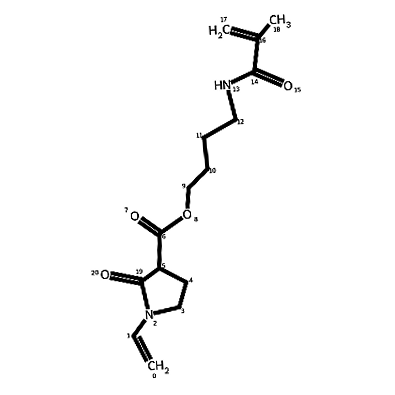 C=CN1CCC(C(=O)OCCCCNC(=O)C(=C)C)C1=O